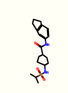 CC(C)S(=O)(=O)NC1CCC(C(=O)Nc2ccc3c(c2)CCC3)CC1